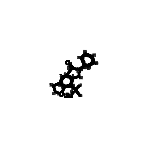 CC(C)(C)[Si](C)(C)c1c2c(cc3c1OCC3)C(=O)N(c1ccccc1)C2